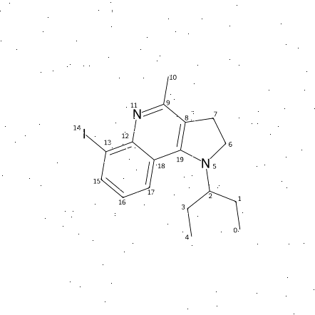 CCC(CC)N1CCc2c(C)nc3c(I)cccc3c21